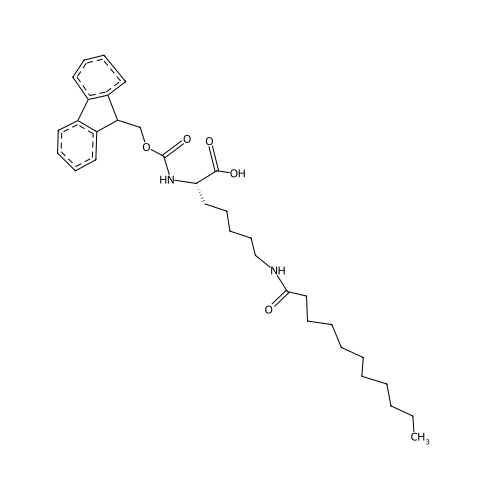 CCCCCCCCCCC(=O)NCCCCC[C@H](NC(=O)OCC1c2ccccc2-c2ccccc21)C(=O)O